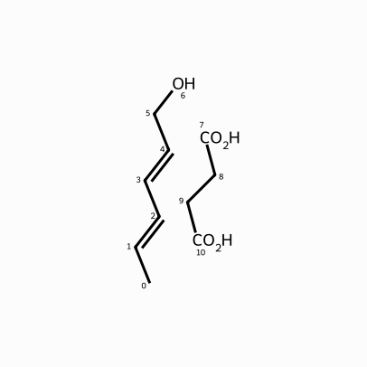 CC=CC=CCO.O=C(O)CCC(=O)O